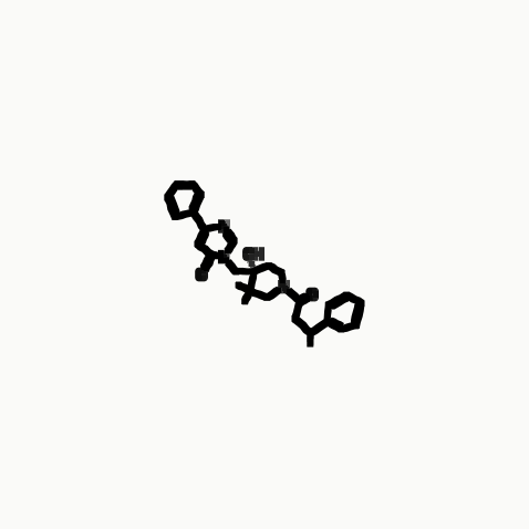 CC(CC(=O)N1CC[C@](O)(Cn2cnc(-c3ccccc3)cc2=O)C(C)(C)C1)c1ccccc1